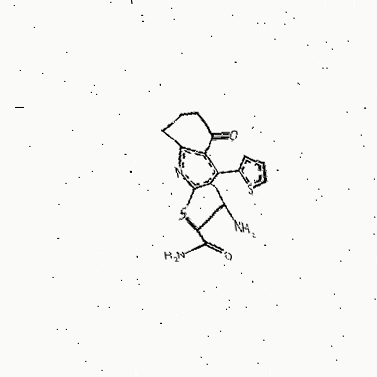 NC(=O)C1Sc2nc3c(c(-c4cccs4)c2C1N)C(=O)CCC3